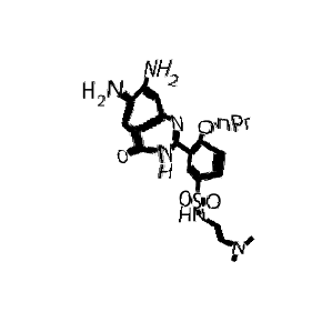 CCCOc1ccc(S(=O)(=O)NCCN(C)C)cc1-c1nc2cc(N)c(N)cc2c(=O)[nH]1